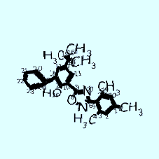 Cc1cc(C)c(-c2noc(-c3cc(C(C)(C)C)cc(-c4ccccc4)c3O)n2)c(C)c1